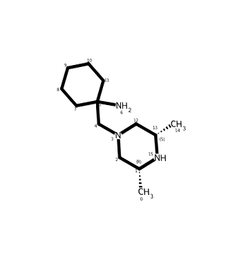 C[C@@H]1CN(CC2(N)CCCCC2)C[C@H](C)N1